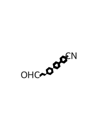 N#Cc1ccc(-c2ccc([C@H]3CC[C@H](CCCC=O)CC3)cc2)cc1